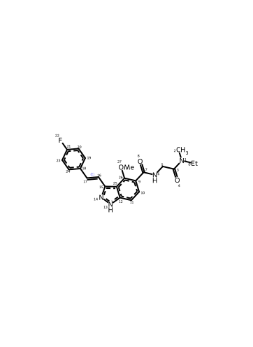 CCN(C)C(=O)CNC(=O)c1ccc2[nH]nc(/C=C/c3ccc(F)cc3)c2c1OC